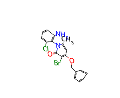 Cc1cc(OCc2ccccc2)c(Br)c(=O)n1-c1c(N)cccc1Cl